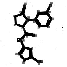 CC(C)(C)c1cc(NC(=O)[C@@H]2CCC(=O)N2c2cccc(Cl)c2)no1